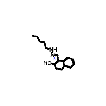 CCCCCN/N=C/c1c(O)ccc2ccccc12